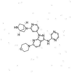 c1cnc(Nc2nn(-c3ccnc(N4C[C@@H]5C[C@H]4CN5)c3)c3nc(N4CCOCC4)ccc23)cn1